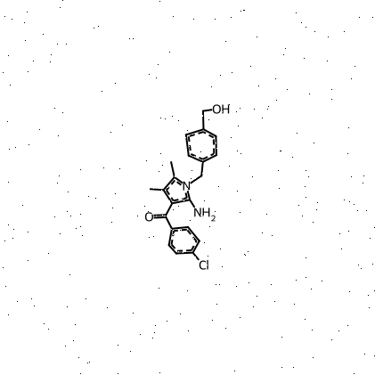 Cc1c(C(=O)c2ccc(Cl)cc2)c(N)n(Cc2ccc(CO)cc2)c1C